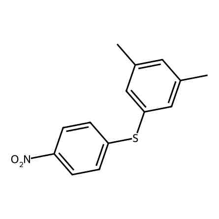 Cc1cc(C)cc(Sc2ccc([N+](=O)[O-])cc2)c1